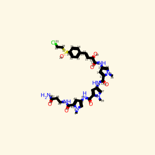 Cn1cc(NC(=O)c2cc(NC(=O)c3cc(NC(=O)C(=O)/C=C/c4ccc([S+]([O-])CCCl)cc4)cn3C)cn2C)cc1C(=O)NCCC(N)=O